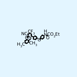 CCOC(=O)C(=O)Nc1ccc(Oc2ccc(-c3cc(C(F)(F)F)c(C#N)c(=O)n3Cc3ccc(C)cc3C)cc2)cc1